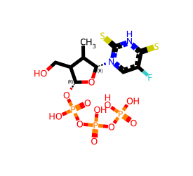 CC1C(CO)[C@@H](OP(=O)(O)OP(=O)(O)OP(=O)(O)O)O[C@H]1n1cc(F)c(=S)[nH]c1=S